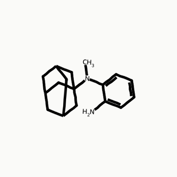 CN(c1ccccc1N)C12CC3CC(CC(C3)C1)C2